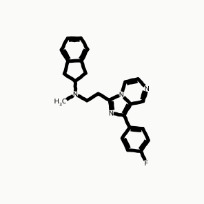 CN(CCc1nc(-c2ccc(F)cc2)c2cnccn12)C1Cc2ccccc2C1